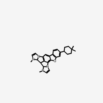 CN1C=CN2c3cc4c(oc5cc(C6CCC(C)(C)CC6)ccc54)c4c3C(C12)C1N(C)C=CN41